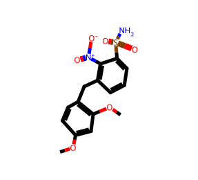 COc1ccc(Cc2cccc(S(N)(=O)=O)c2[N+](=O)[O-])c(OC)c1